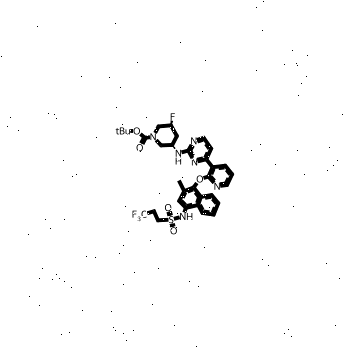 Cc1cc(NS(=O)(=O)CCC(F)(F)F)c2ccccc2c1Oc1ncccc1-c1ccnc(N[C@H]2C[C@H](F)CN(C(=O)OC(C)(C)C)C2)n1